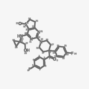 O=C(c1ccc(F)cc1)C1(c2ccc(F)cc2)CCN(c2nc3c(c(NC4(CO)CC4)n2)[S+]([O-])CC3)CC1